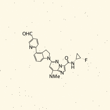 CNc1cc(N2CCc3c(-c4ccc(C=O)cn4)cccc32)nn2c(C(=O)N[C@@H]3C[C@@H]3F)cnc12